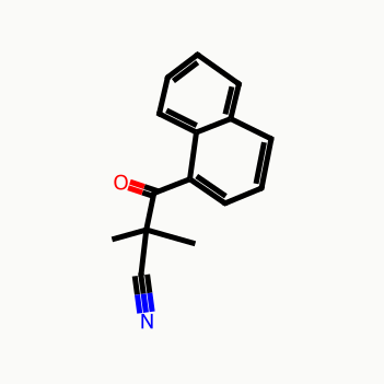 CC(C)(C#N)C(=O)c1cccc2ccccc12